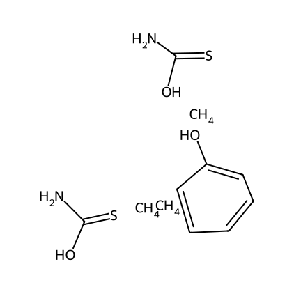 C.C.C.NC(O)=S.NC(O)=S.Oc1ccccc1